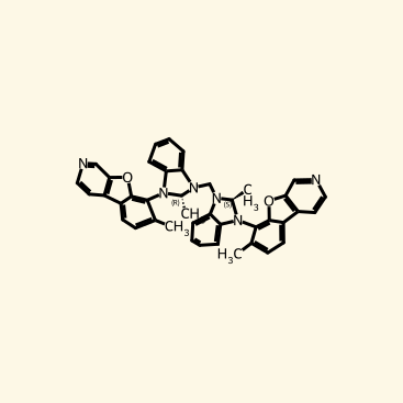 Cc1ccc2c(oc3cnccc32)c1N1c2ccccc2N(CN2c3ccccc3N(c3c(C)ccc4c3oc3cnccc34)[C@H]2C)[C@H]1C